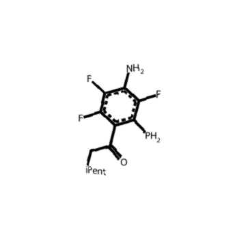 CCCC(C)CC(=O)c1c(F)c(F)c(N)c(F)c1P